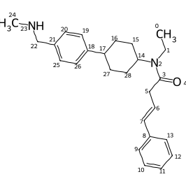 CCN(C(=O)CC=Cc1ccccc1)C1CCC(c2ccc(CNC)cc2)CC1